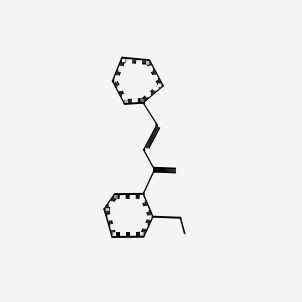 O=C(C=Cc1ccccc1)c1ccccc1CO